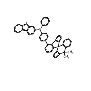 CC1(C)c2ccccc2C2(c3ccccc3-c3c(-c4ccc(N(c5ccccc5)c5ccc6c(c5)sc5ccccc56)cc4)cccc32)c2ccccc21